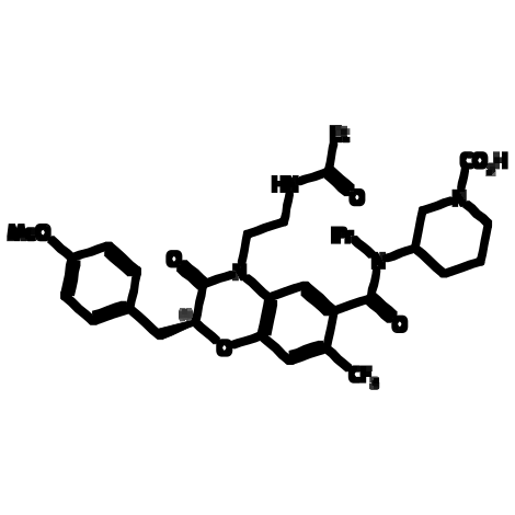 CCC(=O)NCCN1C(=O)[C@H](Cc2ccc(OC)cc2)Oc2cc(C(F)(F)F)c(C(=O)N(C(C)C)C3CCCN(C(=O)O)C3)cc21